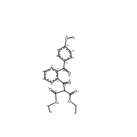 CCOC(=O)C(C(=O)OCC)C(=O)c1cccnc1C(=O)c1ccc(OC)cc1